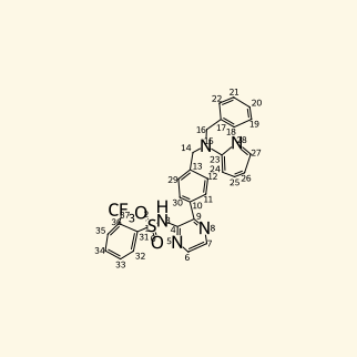 O=S(=O)(Nc1nccnc1-c1ccc(CN(Cc2ccccc2)c2ccccn2)cc1)c1ccccc1C(F)(F)F